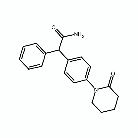 NC(=O)C(c1ccccc1)c1ccc(N2CCCCC2=O)cc1